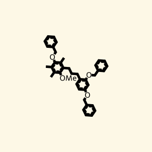 COc1c(C)c(C)c(OCc2ccccc2)c(C)c1CCCc1ccc(OCc2ccccc2)cc1OCc1ccccc1